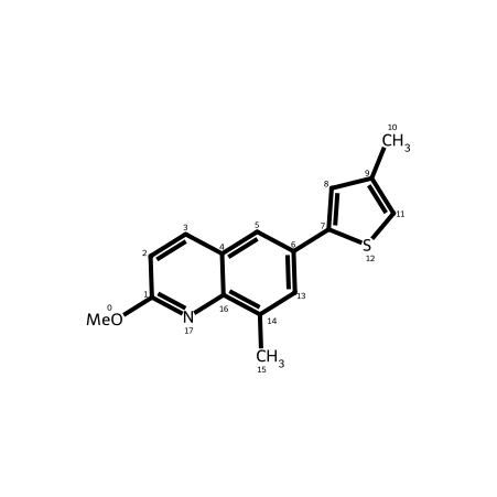 COc1ccc2cc(-c3cc(C)cs3)cc(C)c2n1